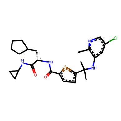 Cc1ncc(Cl)cc1NC(C)(C)c1ccc(C(=O)N[C@@H](CC2CCCC2)C(=O)NC2CC2)s1